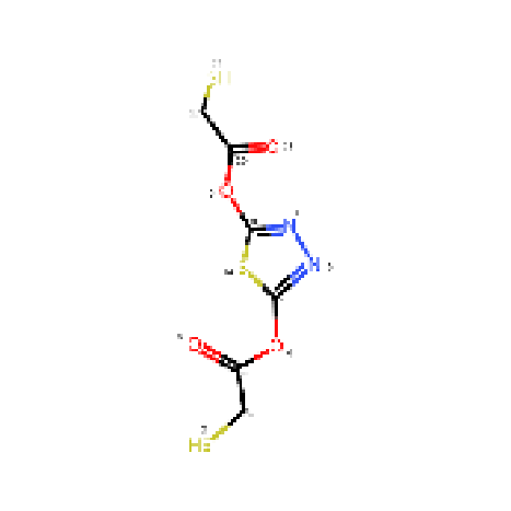 O=C(CS)Oc1nnc(OC(=O)CS)s1